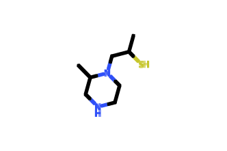 CC(S)CN1CCNCC1C